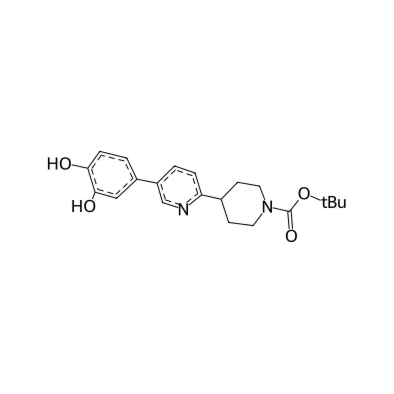 CC(C)(C)OC(=O)N1CCC(c2ccc(-c3ccc(O)c(O)c3)cn2)CC1